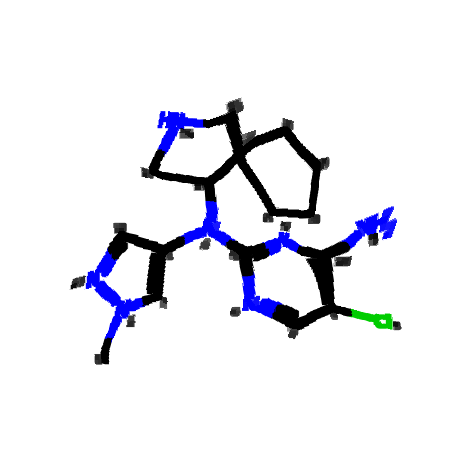 Cn1cc(N(c2ncc(Cl)c(N)n2)C2CNCC23CCCC3)cn1